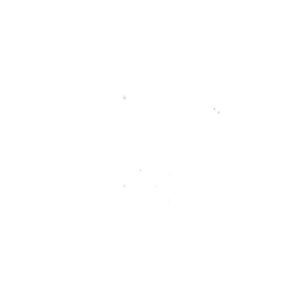 CCc1[c]c(Br)c(-c2ccc([N+](=O)[O-])cc2)c(C(F)(C(F)(F)F)C(F)(F)F)c1